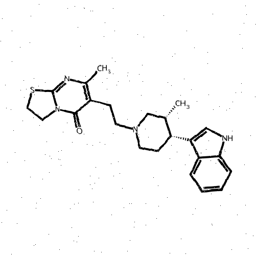 Cc1nc2n(c(=O)c1CCN1CC[C@@H](c3c[nH]c4ccccc34)[C@@H](C)C1)CCS2